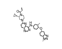 C=CC(=O)N1CCN(c2ccc3ncnc(Nc4ccc(Oc5ccc6c(c5)nnn6C)c(C)c4)c3n2)C[C@H]1C1CC1